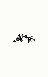 CC(=O)c1cc(C(=O)NC[C@H](C)n2ccc(-c3cc(F)c(C#N)c(Cl)c3)n2)no1